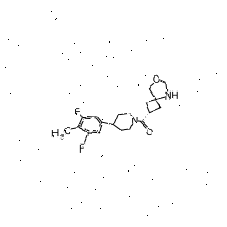 Cc1c(F)cc(C2CCN(C(=O)[C@H]3C[C@]4(COCN4)C3)CC2)cc1F